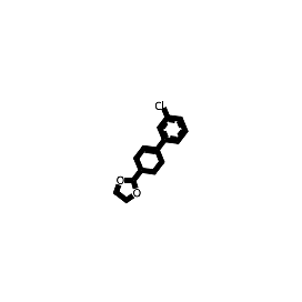 Clc1cccc(C2=CCC(C3OCCO3)CC2)c1